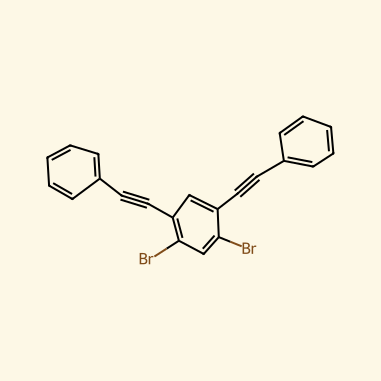 Brc1cc(Br)c(C#Cc2ccccc2)cc1C#Cc1ccccc1